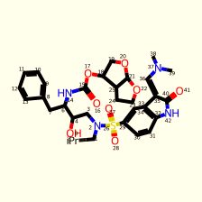 CC(C)CN(CC(O)C(Cc1ccccc1)NC(=O)OC1COC2OCCC12)S(=O)(=O)c1ccc2c(c1)C(=CN(C)C)C(=O)N2